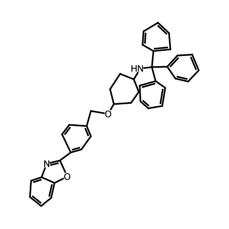 c1ccc(C(NC2CCC(OCc3ccc(-c4nc5ccccc5o4)cc3)CC2)(c2ccccc2)c2ccccc2)cc1